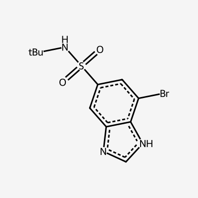 CC(C)(C)NS(=O)(=O)c1cc(Br)c2[nH]cnc2c1